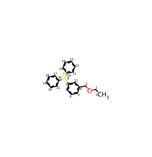 CCOCc1cccc([SH](c2ccccc2)c2ccccc2)c1